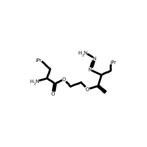 C=C(OCCOC(=O)C(N)CC(C)C)C(CC(C)C)N=NN